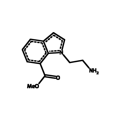 COC(=O)c1cccc2ccn(CCN)c12